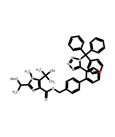 COC(C)c1nc(C(=O)OCc2ccc(-c3ccccc3-c3nnnn3C(c3ccccc3)(c3ccccc3)c3ccccc3)cc2)c(C(C)(C)O)n1C